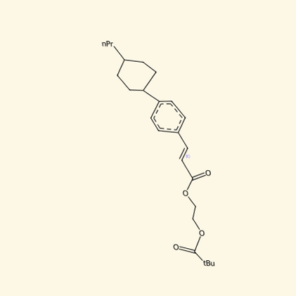 CCCC1CCC(c2ccc(/C=C/C(=O)OCCOC(=O)C(C)(C)C)cc2)CC1